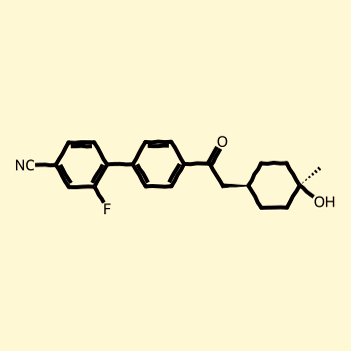 C[C@]1(O)CC[C@@H](CC(=O)c2ccc(-c3ccc(C#N)cc3F)cc2)CC1